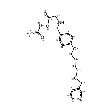 C[C@H](NCc1ccc(OCCCCOCc2ccccc2)cc1)C(=O)OOC(=O)C(F)(F)F